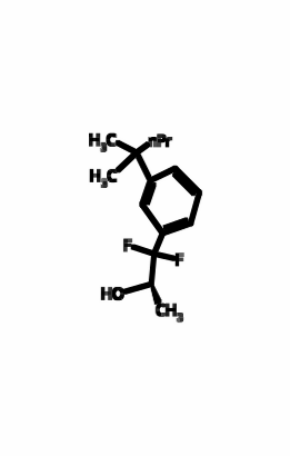 CCCC(C)(C)c1cccc(C(F)(F)[C@@H](C)O)c1